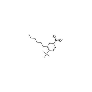 CCCCCCc1cc([N+](=O)[O-])ccc1C(C)(C)C